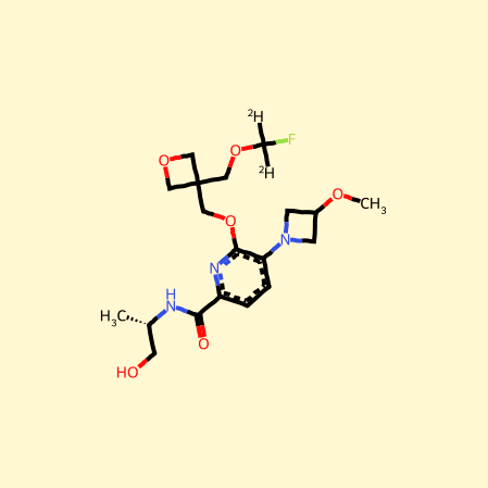 [2H]C([2H])(F)OCC1(COc2nc(C(=O)N[C@@H](C)CO)ccc2N2CC(OC)C2)COC1